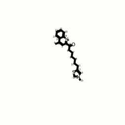 Cc1cc(C(=O)CCCCCCC2=CN(C)CS2)nc2ccccc12